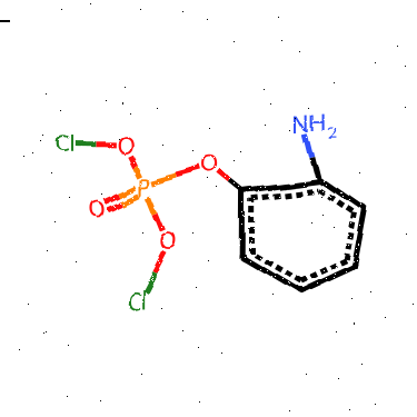 Nc1ccccc1OP(=O)(OCl)OCl